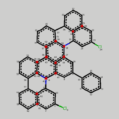 Clc1cccc(N(c2cc(-c3ccccc3)cc(N(c3cccc(Cl)c3)c3c(-c4ccccc4)cccc3-c3ccccc3)c2)c2c(-c3ccccc3)cccc2-c2ccccc2)c1